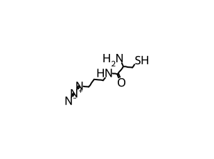 [N-]=[N+]=NCCCNC(=O)C(N)CS